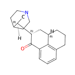 O=C1c2cccc3c2[C@H](CCC3)C[C@H]1[C@@H]1CN2CCC1CC2